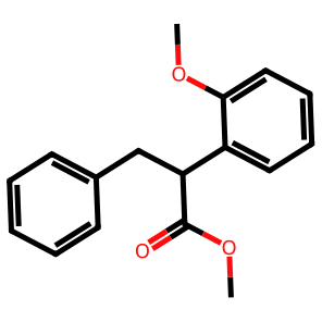 COC(=O)C(Cc1ccccc1)c1ccccc1OC